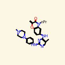 C=C1Oc2ccc(Nc3nc(Nc4ccc(N5CCN(C)CC5)cc4)ncc3C)cc2N(CCC)C1=O